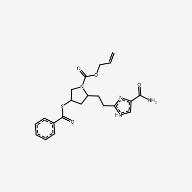 C=CCOC(=O)N1CC(SC(=O)c2ccccc2)CC1CCc1nc(C(N)=O)c[nH]1